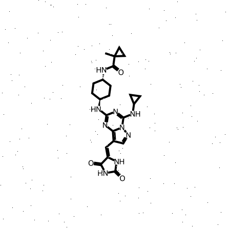 CC1(C(=O)N[C@H]2CC[C@H](Nc3nc(NC4CC4)n4ncc(/C=C5\NC(=O)NC5=O)c4n3)CC2)CC1